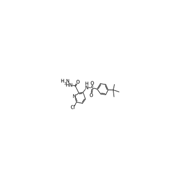 CC(C)(C)c1ccc(S(=O)(=O)Nc2ccc(Cl)nc2C(=O)NN)cc1